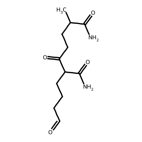 CC(CCC(=O)C(CCCC=O)C(N)=O)C(N)=O